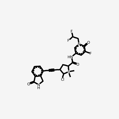 CS1(C)C(C(=O)Nc2cc(F)c(=O)n(CC(F)F)c2)CC(C#Cc2cccc3c2CNC3=O)C1Cl